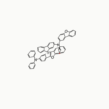 c1ccc(N(c2ccccc2)c2ccc3c(c2)[C@@]2(c4ccccc4-c4ccc(N(c5ccccc5)c5ccc6oc7ccccc7c6c5)cc42)c2c-3oc3ccccc23)cc1